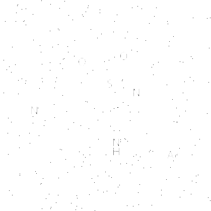 CC(=O)CC1=NS(=O)(=O)c2cnccc2N1